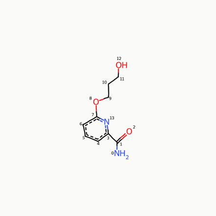 NC(=O)c1cccc(OCCCO)n1